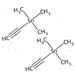 C#[C][Sn]([CH3])([CH3])[CH3].C#[C][Sn]([CH3])([CH3])[CH3]